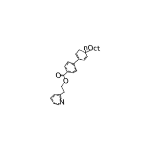 CCCCCCCCC1(C)C=CC(c2ccc(C(=O)OCCc3ccccn3)cc2)=CC1